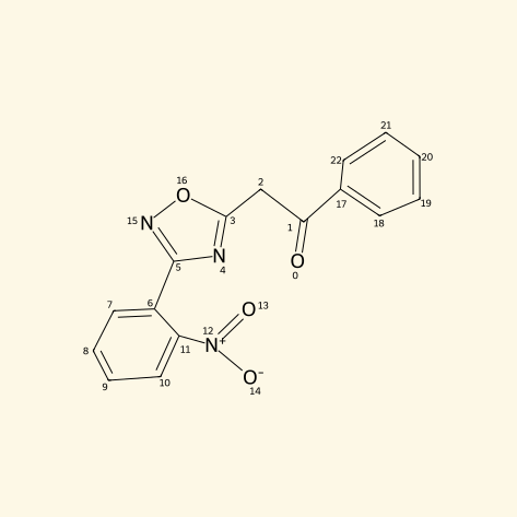 O=C(Cc1nc(-c2ccccc2[N+](=O)[O-])no1)c1ccccc1